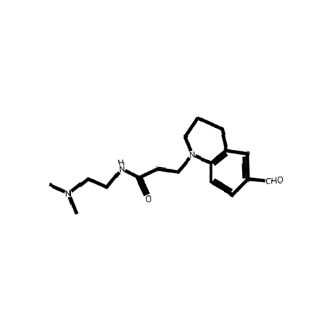 CN(C)CCNC(=O)CCN1CCCc2cc(C=O)ccc21